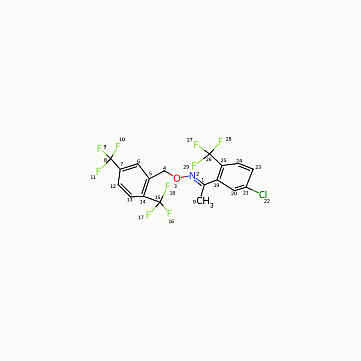 C/C(=N\OCc1cc(C(F)(F)F)ccc1C(F)(F)F)c1cc(Cl)ccc1C(F)(F)F